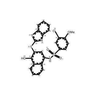 COc1ccc(S(=O)(=O)Nc2cc(Sc3nc4ccccc4s3)c(O)c3ccccc23)cc1Cl